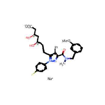 COc1cccc(CN(C)C(=O)c2nn(-c3ccc(F)cc3)c(CC[C@@H](O)C[C@@H](O)CC(=O)[O-])c2C(C)C)c1.[Na+]